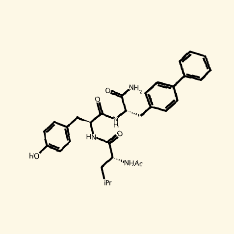 CC(=O)N[C@H](CC(C)C)C(=O)N[C@@H](Cc1ccc(O)cc1)C(=O)N[C@@H](Cc1ccc(-c2ccccc2)cc1)C(N)=O